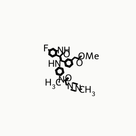 COC(=O)Cc1cccc(C(Nc2ccc(N(C)C(=O)CN3CCN(C)CC3)cc2)=C2C(=O)Nc3cc(F)ccc32)c1